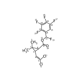 CC1(C)C(C=C(Cl)Cl)C1C(=O)OC(F)c1cc(F)c(F)c(F)c1F